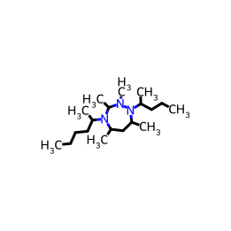 CCCCC(C)N1C(C)CC(C)N(C(C)CCC)N(C)C1C